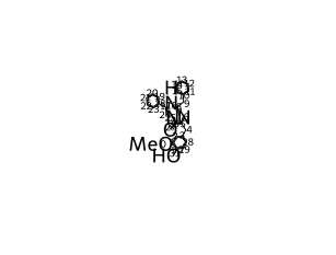 COc1cc(Cc2nc3c(Cc4ccccc4)[nH]c(-c4ccccc4)cn-3c2=O)ccc1O